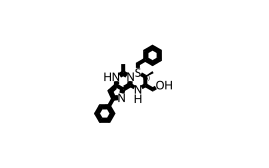 Cc1nc(NC(CO)[C@H](C)SCc2ccccc2)c2nc(-c3ccccc3)cc-2[nH]1